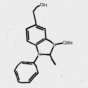 CON1c2cc(CO)ccc2N(c2ccccc2)C1C